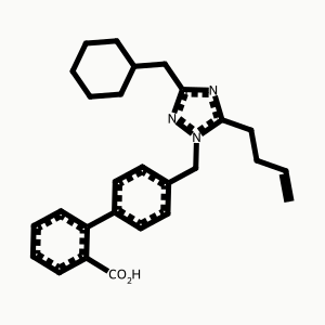 C=CCCc1nc(CC2CCCCC2)nn1Cc1ccc(-c2ccccc2C(=O)O)cc1